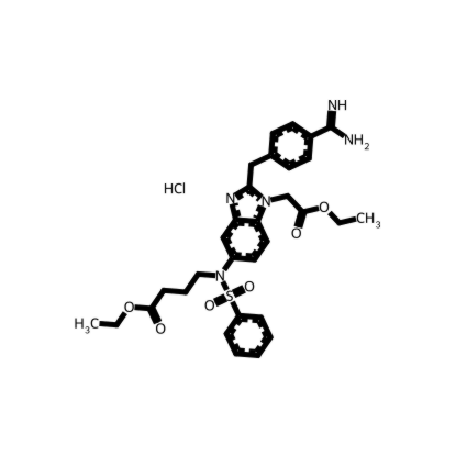 CCOC(=O)CCCN(c1ccc2c(c1)nc(Cc1ccc(C(=N)N)cc1)n2CC(=O)OCC)S(=O)(=O)c1ccccc1.Cl